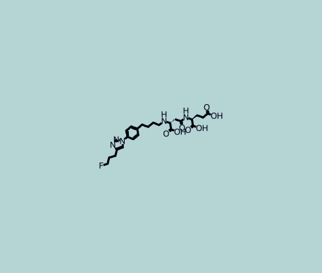 O=C(O)CC[C@H](NC(=O)C[C@@H](NCCCCc1ccc(-n2cc(CCCF)nn2)cc1)C(=O)O)C(=O)O